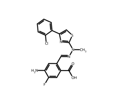 CN(/N=C/c1cc(N)c(F)cc1C(=O)O)c1nc(-c2ccccc2Cl)cs1